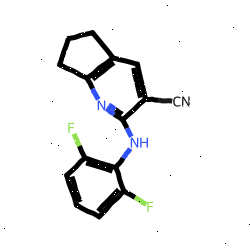 N#Cc1cc2c(nc1Nc1c(F)cccc1F)CCC2